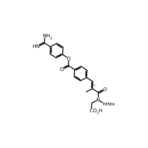 CCCCCCN(CC(=O)O)C(=O)/C(C)=C/c1ccc(C(=O)Oc2ccc(C(=N)N)cc2)cc1